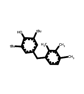 Cc1ccc(Cc2cc(C(C)(C)C)c(O)c(C(C)(C)C)c2)c(C)c1C